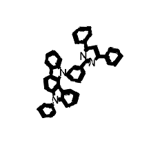 c1ccc(-c2cc(-c3ccccc3)nc(-c3cccc(-n4c5ccccc5c5ccc6c(c7ccccc7n6-c6ccccc6)c54)c3)n2)cc1